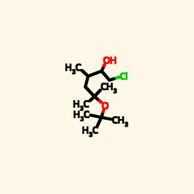 CC(CC(C)(C)OC(C)(C)C)C(O)CCl